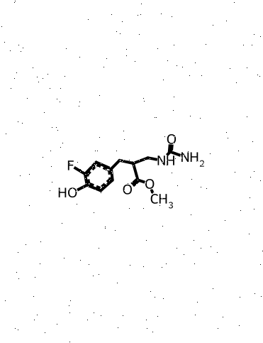 COC(=O)C(CNC(N)=O)Cc1ccc(O)c(F)c1